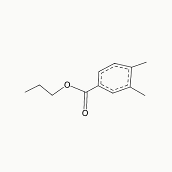 CCCOC(=O)c1ccc(C)c(C)c1